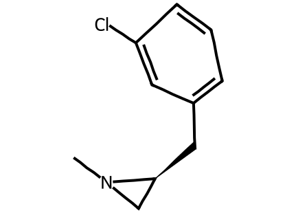 CN1C[C@@H]1Cc1cccc(Cl)c1